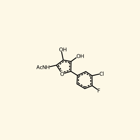 CC(=O)Nc1oc(-c2ccc(F)c(Cl)c2)c(O)c1O